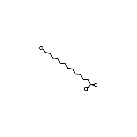 O=C(Cl)CCCCCCCCCCCCCl